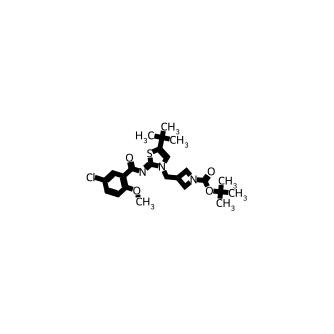 COc1ccc(Cl)cc1C(=O)N=c1sc(C(C)(C)C)cn1CC1CN(C(=O)OC(C)(C)C)C1